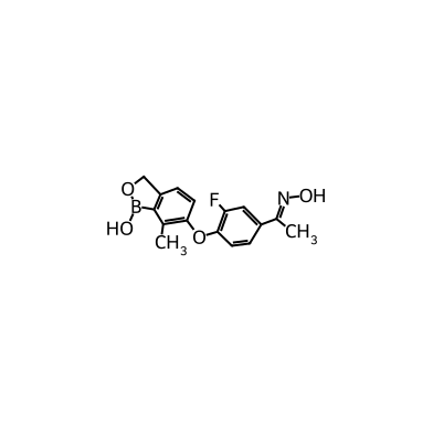 CC(=NO)c1ccc(Oc2ccc3c(c2C)B(O)OC3)c(F)c1